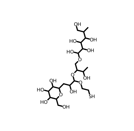 CC(O)C(COC(O)C(O)C(O)C(O)C(C)CO)OC(OCCS)C(O)CC1OC(CO)C(O)C(O)C1O